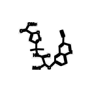 C#Cc1cnc2ccc(OC(SC)C(=O)NC(C)(C)c3cc(C(=O)OC)on3)cc2c1